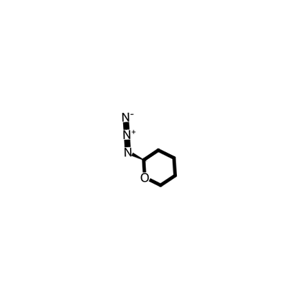 [N-]=[N+]=N[C@H]1CCCCO1